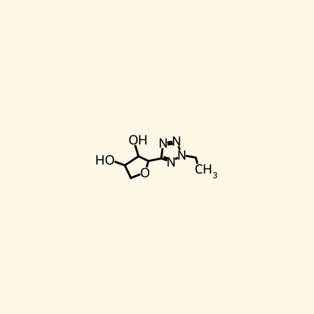 CCn1nnc(C2OCC(O)C2O)n1